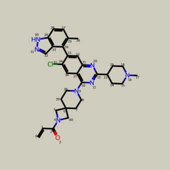 C=CC(=O)N1CC2(CCN(c3nc(C4CCN(C)CC4)nc4cc(-c5c(C)ccc6[nH]ncc56)c(Cl)cc34)CC2)C1